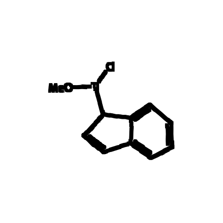 C[O][Ti]([Cl])[CH]1C=Cc2ccccc21